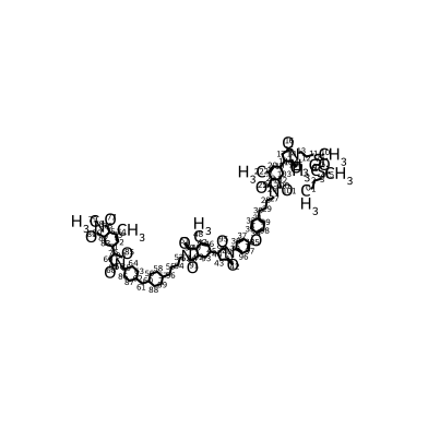 CCCC[Si](C)(C)O[Si](C)(C)CCCN1C(=O)CC(C2C=C(C)C3C(=O)N(CCCCc4ccc(Oc5ccc(N6C(=O)CC(C7C=C(C)C8C(=O)N(CCCCC9CCC(CC%10CCC(N%11C(=O)CC(C%12C=C(C)C%13C(=O)N(C)C(=O)C%13C%12)C%11=O)CC%10)CC9)C(=O)C8C7)C6=O)cc5)cc4)C(=O)C3C2)C1=O